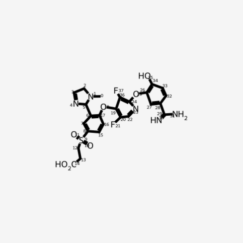 CN1CC=NC1c1cc(S(=O)(=O)CCC(=O)O)ccc1Oc1c(F)cnc(Oc2cc(C(=N)N)ccc2O)c1F